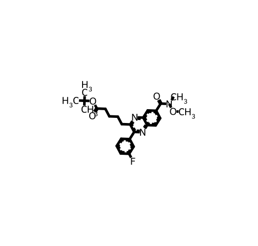 CON(C)C(=O)c1ccc2nc(-c3cccc(F)c3)c(CCCCC(=O)OC(C)(C)C)nc2c1